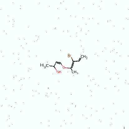 C=C/C(Br)=C(\C)O/C=C\C(C)O